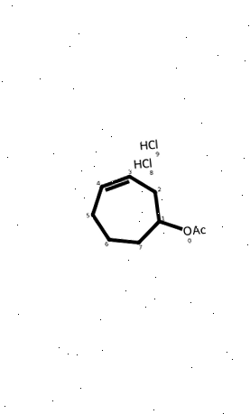 CC(=O)OC1CC=CCCC1.Cl.Cl